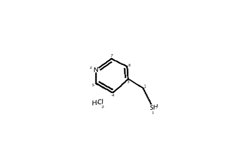 Cl.SCc1ccncc1